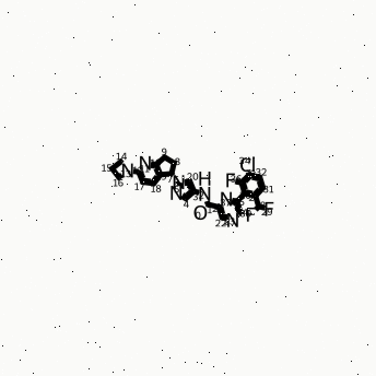 O=C(Nc1cnn(C2CCc3nc(N4CCC4)ccc32)c1)c1cncc(-c2c(C(F)F)ccc(Cl)c2F)n1